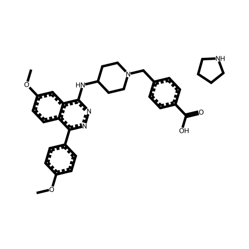 C1CCNC1.COc1ccc(-c2nnc(NC3CCN(Cc4ccc(C(=O)O)cc4)CC3)c3cc(OC)ccc23)cc1